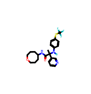 CC(C(=O)NC1CCCOCCC1)(c1cccnc1)N(F)c1ccc(SC(F)(F)F)cc1